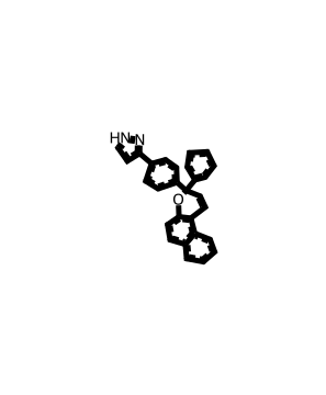 C1=CC(c2ccccc2)(c2ccc(-c3cc[nH]n3)cc2)Oc2ccc3ccccc3c21